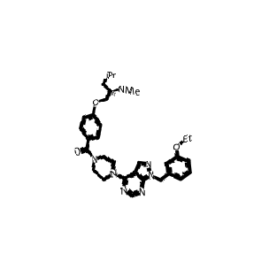 CCOc1cccc(Cn2ncc3c(N4CCN(C(=O)c5ccc(OC[C@@H](CC(C)C)NC)cc5)CC4)ncnc32)c1